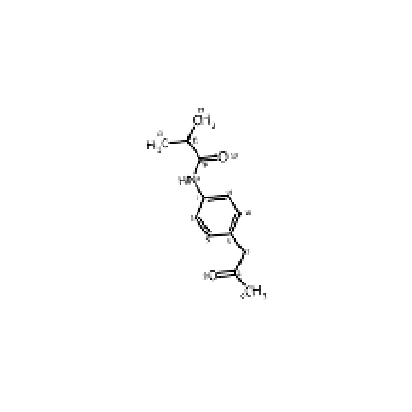 CC(=O)Cc1ccc(NC(=O)C(C)C)cc1